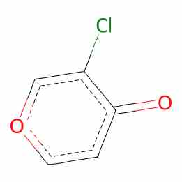 O=c1ccocc1Cl